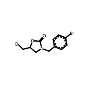 O=C1OC(CCl)CN1Cc1ccc(Br)cc1